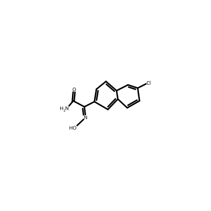 NC(=O)C(=NO)c1ccc2cc(Cl)ccc2c1